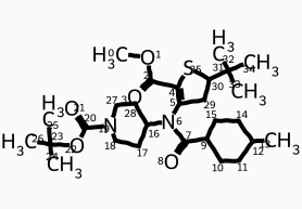 COC(=O)C1=C(N(C(=O)C2CCC(C)CC2)C2CCN(C(=O)OC(C)(C)C)CC2)CC(C(C)(C)C)S1